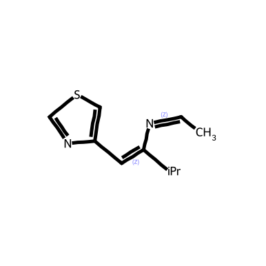 C/C=N\C(=C/c1cscn1)C(C)C